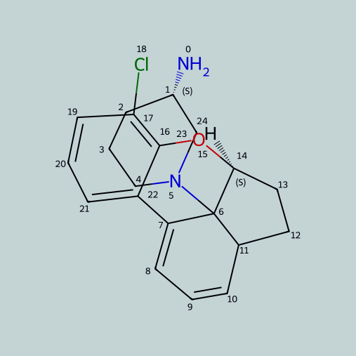 N[C@H]1CCCN(C23C4=CC=CC2CC[C@@H]3Oc2c(Cl)cccc24)C1